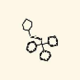 C(=NC1CCCCC1)=NC(c1ccccc1)(c1ccccc1)c1ccccc1